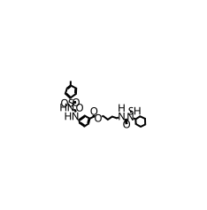 Cc1ccc(S(=O)(=O)NC(=O)Nc2cccc(C(=O)OCCCCNC(=O)N(S)C3CCCCC3)c2)cc1